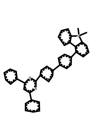 C[Si]1(C)c2ccccc2-c2c(-c3ccc(-c4ccc(-c5nc(-c6ccccc6)cc(-c6ccccc6)n5)cc4)cc3)cccc21